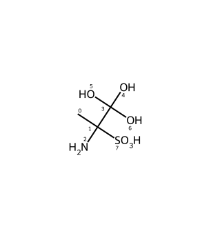 CC(N)(C(O)(O)O)S(=O)(=O)O